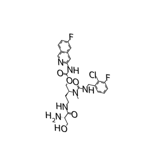 CN(C(=O)NCc1cccc(F)c1Cl)[C@@H](CCNC(=O)[C@@H](N)CO)COC(=O)Nc1cc2cc(F)ccc2cn1